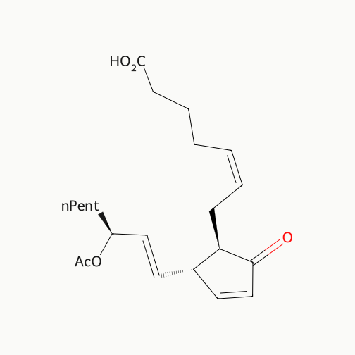 CCCCC[C@@H](C=C[C@H]1C=CC(=O)[C@@H]1C/C=C\CCCC(=O)O)OC(C)=O